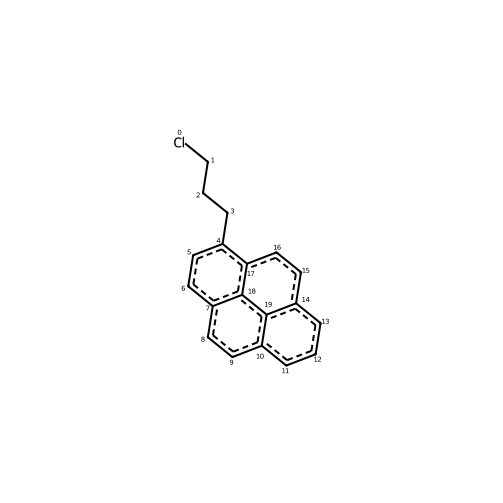 ClCCCc1ccc2ccc3cccc4ccc1c2c34